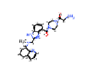 CN(Cc1nc2c(C(=O)N3CCN(C(=O)CN)CC3)cccc2[nH]1)C1CCCc2cccnc21